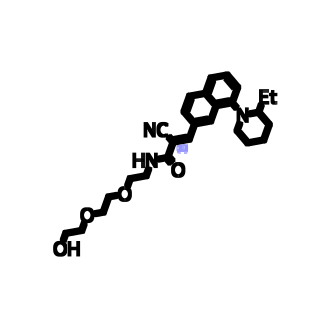 CCC1CCCCN1c1cccc2ccc(/C=C(\C#N)C(=O)NCCOCCOCCO)cc12